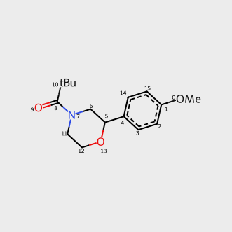 COc1ccc(C2CN(C(=O)C(C)(C)C)CCO2)cc1